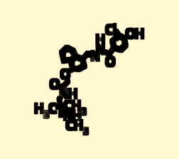 CNCC(C)(C)CNC(=O)COc1ccc(/C=N/NC(=O)c2ccc(O)c(Cl)c2)c2ccccc12